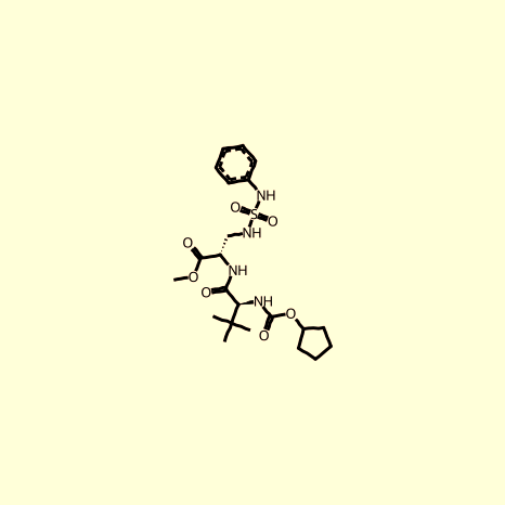 COC(=O)[C@H](CNS(=O)(=O)Nc1ccccc1)NC(=O)[C@@H](NC(=O)OC1CCCC1)C(C)(C)C